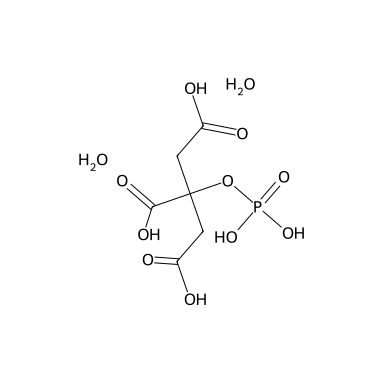 O.O.O=C(O)CC(CC(=O)O)(OP(=O)(O)O)C(=O)O